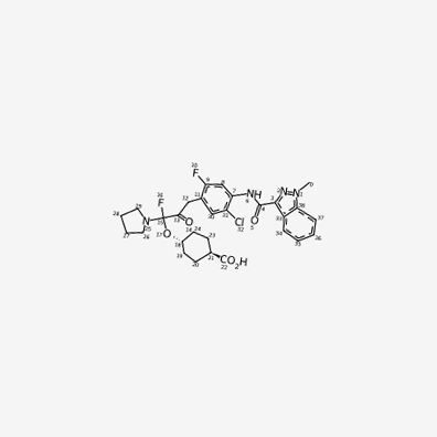 Cn1nc(C(=O)Nc2cc(F)c(CC(=O)C(F)(O[C@H]3CC[C@H](C(=O)O)CC3)N3CCCC3)cc2Cl)c2ccccc21